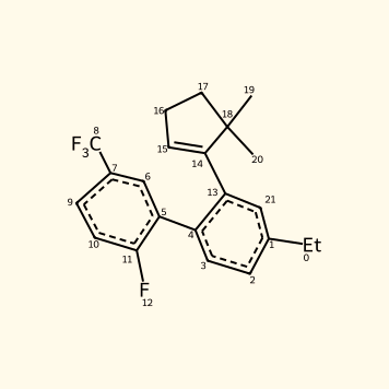 CCc1ccc(-c2cc(C(F)(F)F)ccc2F)c(C2=CCCC2(C)C)c1